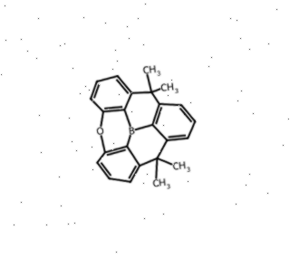 CC1(C)c2cccc3c2B2c4c(cccc4C(C)(C)c4cccc1c42)O3